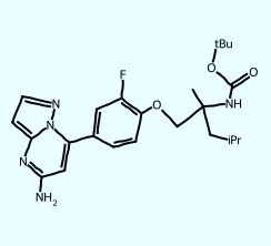 CC(C)CC(C)(COc1ccc(-c2cc(N)nc3ccnn23)cc1F)NC(=O)OC(C)(C)C